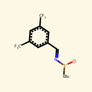 CC(C)(C)[S+]([O-])/N=C/c1cc(C(F)(F)F)cc(C(F)(F)F)c1